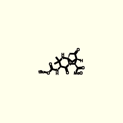 COC(=O)[C@@H]1[C@@H]2C[C@]3(CC2=O)NC(C)(C)[C@H](NC(=O)OC(C)(C)C)C(=O)N13